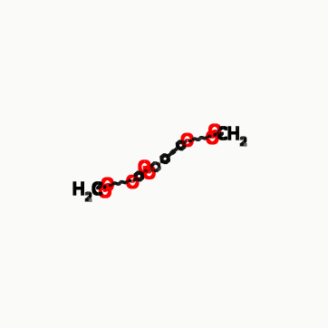 C=CC(=O)OCCCCCCOc1ccc(C#Cc2ccc([C@H]3CC[C@H](OC(=O)c4ccc(OCCCCCCOC(=O)C=C)cc4)CC3)cc2)cc1